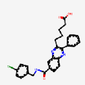 O=C(O)CCCCc1nc2cc(C(=O)NCc3ccc(Cl)cc3)ccc2nc1-c1ccccc1